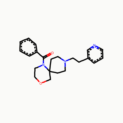 O=C(c1ccccc1)N1CCOCC12CCN(CCc1cccnc1)CC2